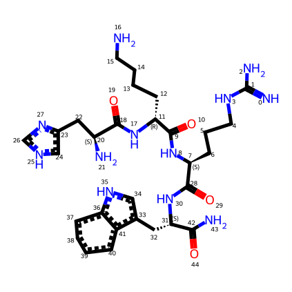 N=C(N)NCCC[C@H](NC(=O)[C@@H](CCCCN)NC(=O)[C@@H](N)Cc1c[nH]cn1)C(=O)N[C@@H](Cc1c[nH]c2ccccc12)C(N)=O